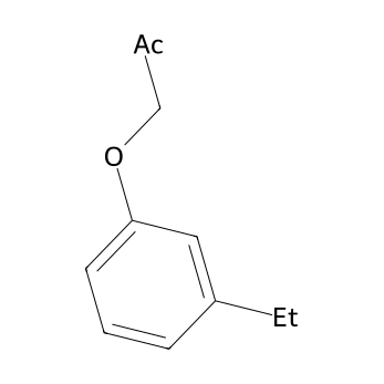 CCc1cccc(OCC(C)=O)c1